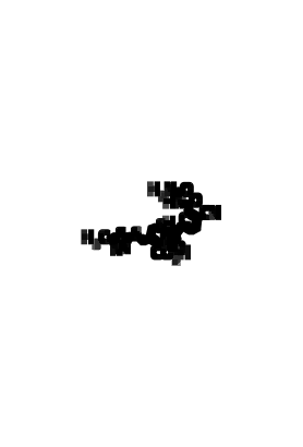 Cc1nnc(SCC2=C(C(=O)O)N3C(=O)C(c4ccc(C#N)c(C(=O)NC(N)=O)c4)[C@@H]3SC2)s1